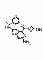 C[C@H](Nc1cc2c(C(=O)N3CC(O)C3)nc(N)cc2s1)c1cccnc1